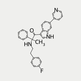 CC(NCCc1ccc(F)cc1)(C(=O)c1c[nH]c2cc(-c3cccnc3)ccc12)c1ccccc1